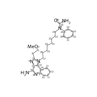 COCCc1nc2c(N)nc3ccccc3c2n1CCCCCCCCN(C(N)=O)c1ccccc1